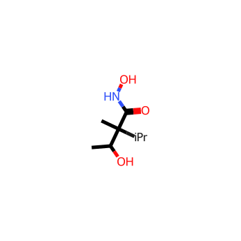 CC(C)C(C)(C(=O)NO)C(C)O